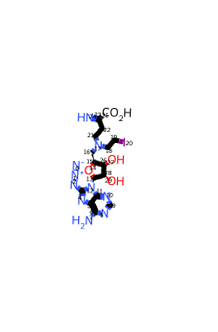 [N-]=[N+]=Nc1nc2c(N)ncnc2n1[C@@H]1O[C@H](CN(CCI)CCC(=N)C(=O)O)C(O)[C@@H]1O